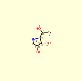 CC[C@@H](O)[C@@H]1NC[C@H](O)[C@H]1O